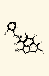 CCN1CN2CC(O)c3c(C(=O)NCc4ccccc4F)c(=O)c(O)c(n32)C1=O